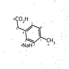 Cc1ccc(CC(=O)O)cc1.[NaH]